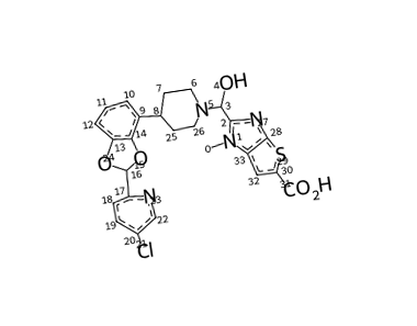 Cn1c(C(O)N2CCC(c3cccc4c3OC(c3ccc(Cl)cn3)O4)CC2)nc2sc(C(=O)O)cc21